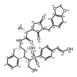 CC(C)CN(C[C@@H](O)[C@H](Cc1ccccc1)NC(=O)[C@H](C(C)C)N1CC(=O)N(Cc2ccc3c(c2)OCO3)C1=O)S(=O)(=O)c1ccc(C=NO)cc1